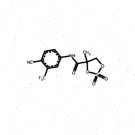 CC1(C(=O)Nc2ccc(C#N)c(C(F)(F)F)c2)COS(=O)(=O)O1